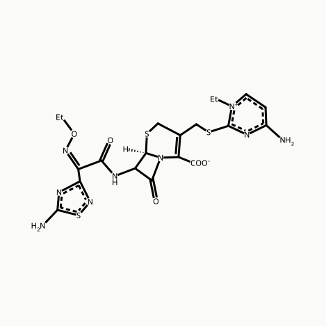 CCO/N=C(\C(=O)NC1C(=O)N2C(C(=O)[O-])=C(CSc3nc(N)cc[n+]3CC)CS[C@H]12)c1nsc(N)n1